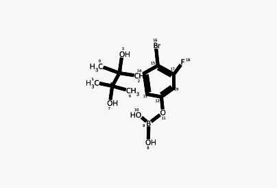 CC(C)(O)C(C)(C)O.OB(O)Oc1ccc(Br)c(F)c1